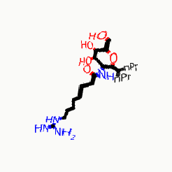 CCCC(CCC)C1OC(CO)C(O)C(O)C1NC(=O)CCCCCCCNC(=N)N